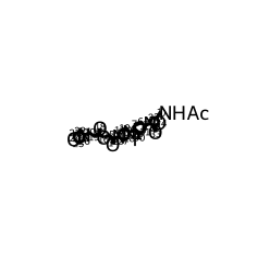 CC(=O)NCC1CN(c2ccc(N3CCN(C(=O)COC(=O)CCN4CCOCC4)CC3)c(F)c2)C(=O)O1